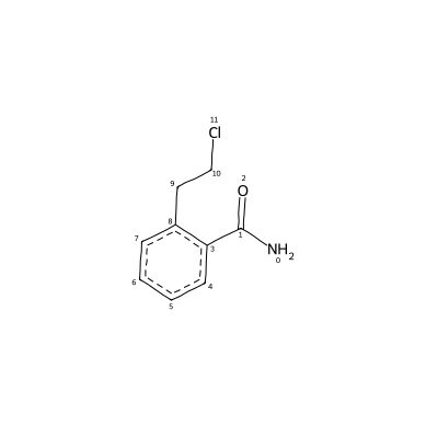 NC(=O)c1ccccc1CCCl